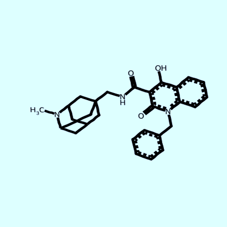 CN1C2CC3CC1CC(CNC(=O)c1c(O)c4ccccc4n(Cc4ccccc4)c1=O)(C3)C2